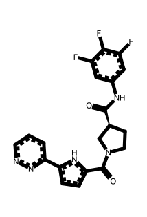 O=C(Nc1cc(F)c(F)c(F)c1)[C@H]1CCN(C(=O)c2ccc(-c3cccnn3)[nH]2)C1